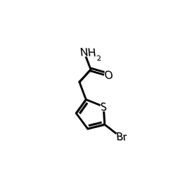 NC(=O)Cc1ccc(Br)s1